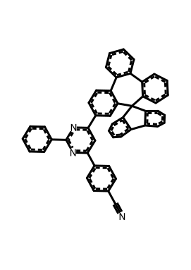 N#Cc1ccc(-c2cc(-c3ccc4c(c3)C3(c5ccccc5-c5ccccc5-4)c4ccccc4-c4ccccc43)nc(-c3ccccc3)n2)cc1